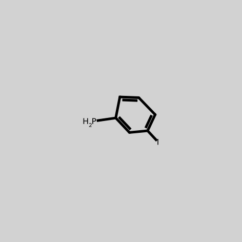 Pc1cccc(I)c1